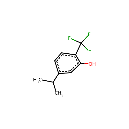 CC(C)c1ccc(C(F)(F)F)c(O)c1